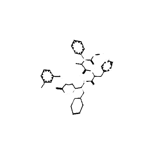 CNC(=O)[C@H](Cc1cccc(Cl)c1)C[C@H](O)[C@H](CC1CCCCC1)NC(=O)C(Cc1c[nH]cn1)NC(=O)C(C)N(C(=O)OC(C)(C)C)c1ccccc1